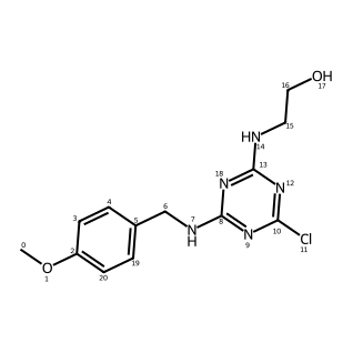 COc1ccc(CNc2nc(Cl)nc(NCCO)n2)cc1